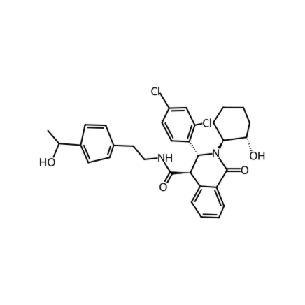 CC(O)c1ccc(CCNC(=O)[C@@H]2c3ccccc3C(=O)N([C@H]3CCCC[C@@H]3O)[C@H]2c2ccc(Cl)cc2Cl)cc1